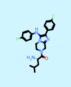 CC(C)C[C@H](N)C(=O)N1CCn2c(nc(-c3ccc(F)cc3)c2Nc2ccc(F)cc2)C1